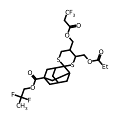 CCC(=O)OCC1SC2(SCC1COC(=O)CC(F)(F)F)C1CC3CC2CC(C(=O)OCC(C)(F)F)(C3)C1